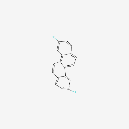 Fc1ccc2ccc3c4cc(F)ccc4ccc3c2c1